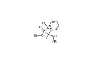 CCCNC(C)(c1ccccc1)P(=O)(OCC)OCC